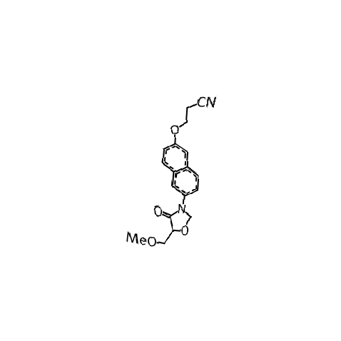 COCC1OCN(c2ccc3cc(OCCC#N)ccc3c2)C1=O